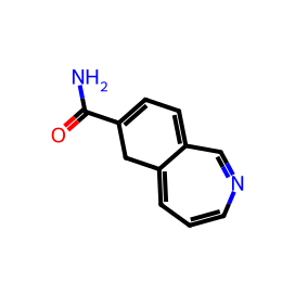 NC(=O)C1=CC=C2C=NC=CC=C2C1